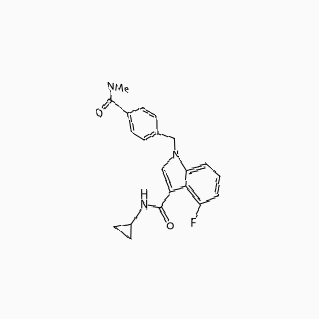 CNC(=O)c1ccc(Cn2cc(C(=O)NC3CC3)c3c(F)cccc32)cc1